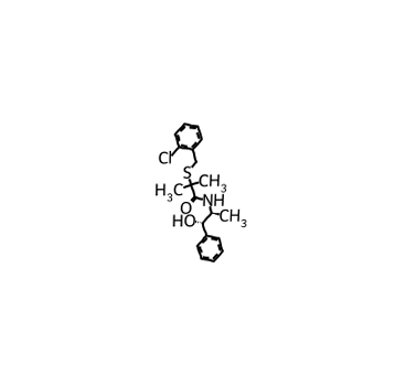 C[C@H](NC(=O)C(C)(C)SCc1ccccc1Cl)[C@@H](O)c1ccccc1